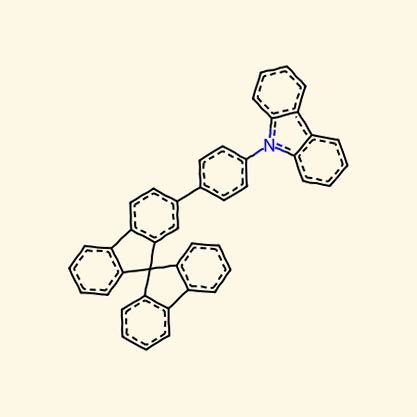 c1ccc2c(c1)-c1ccccc1C21c2ccccc2-c2ccc(-c3ccc(-n4c5ccccc5c5ccccc54)cc3)cc21